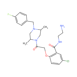 CC1CN(C(=O)COc2ccc(Cl)cc2C(=O)NCCN)C(C)CN1Cc1ccc(F)cc1